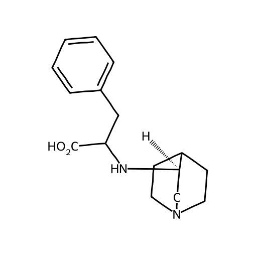 O=C(O)C(Cc1ccccc1)N[C@@H]1CN2CCC1CC2